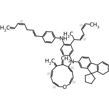 C=C/C=C\CC=Cc1ccc(Nc2ccc(N(/C3=C/C=C\O/C=C\C=C/C(=C)C3=C)c3ccc4c(c3)C3(CCCC3)C3=C4C=CCC3)cc2C(C)/C=C\C=C/C)cc1